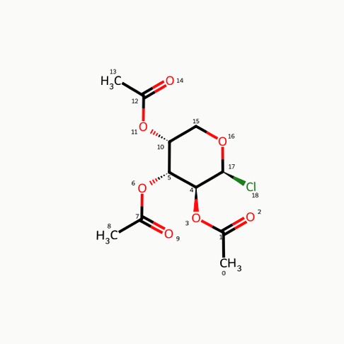 CC(=O)O[C@H]1[C@H](OC(C)=O)[C@H](OC(C)=O)CO[C@H]1Cl